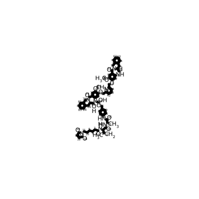 C=C(C)[C@H](NC(=O)CCCCCN1C(=O)C=CC1=O)C(=O)N[C@@H](C)C(=O)Nc1ccc(COC(O)N2c3cc(OCc4cccc(COc5cc6c(cc5OC)C(=O)N5Cc7ccccc7C[C@H]5CN6)n4)c(OC)cc3C(=O)N3Cc4ccccc4CC3C2O)cc1